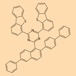 c1ccc(-c2ccc(-c3ccc4cc(-c5ccccc5)ccc4c3-c3nc(-c4cccc5c4sc4ccccc45)nc(-c4cccc5c4sc4ccccc45)n3)cc2)cc1